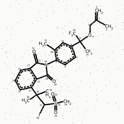 C=C(C)COC(c1ccc(N2C(=O)c3cccc(C(C)(C)C(I)S(C)(=O)=O)c3C2=O)c(C)c1)(C(F)(F)F)C(F)(F)F